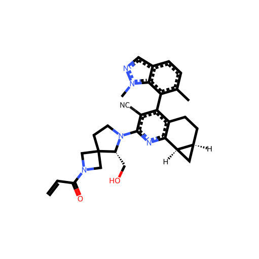 C=CC(=O)N1CC2(CCN(c3nc4c(c(-c5c(C)ccc6cnn(C)c56)c3C#N)CC[C@H]3C[C@@H]43)[C@@H]2CO)C1